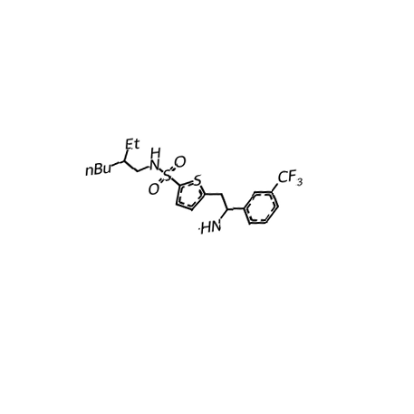 CCCCC(CC)CNS(=O)(=O)c1ccc(CC([NH])c2cccc(C(F)(F)F)c2)s1